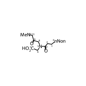 CCCCCCCCCCCC(=O)N(CC(=O)O)CC(=O)CNC